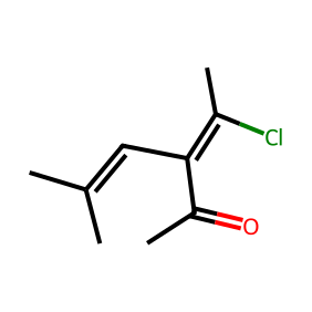 CC(=O)/C(C=C(C)C)=C(/C)Cl